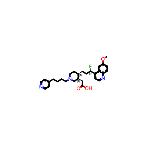 COc1ccc2nccc([C@H](F)CC[C@@H]3CCN(CCCCc4ccncc4)C[C@@H]3CC(=O)O)c2c1